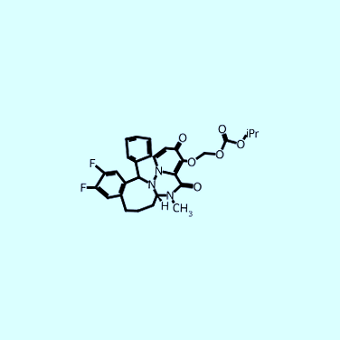 CC(C)OC(=O)OCOc1c2n(ccc1=O)N1C(c3ccccc3)c3cc(F)c(F)cc3CCC[C@H]1N(C)C2=O